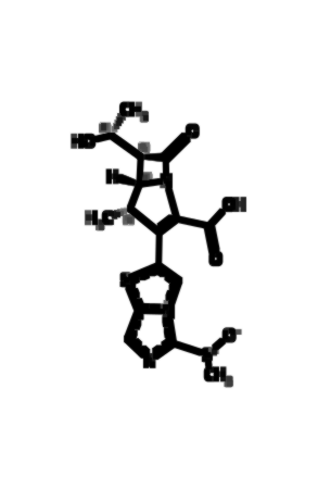 C[C@@H](O)[C@H]1C(=O)N2C(C(=O)O)=C(c3cn4c([S+](C)[O-])ncc4s3)[C@H](C)[C@H]12